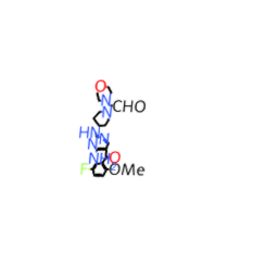 COc1ccc(F)cc1C(=O)c1cnc(NC2CCN(C(C=O)N3CCOCC3)CC2)nc1N